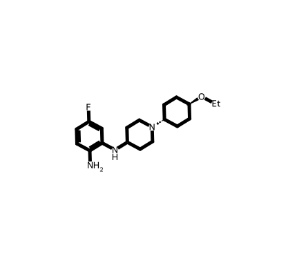 CCO[C@H]1CC[C@H](N2CCC(Nc3cc(F)ccc3N)CC2)CC1